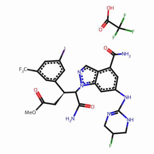 COC(=O)C[C@@H](c1cc(I)cc(C(F)(F)F)c1)C(C(N)=O)n1ncc2c(C(N)=O)cc(NC3=NCC(F)CN3)cc21.O=C(O)C(F)(F)F